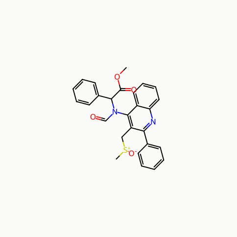 COC(=O)C(c1ccccc1)N(C=O)c1c(C[S+](C)[O-])c(-c2ccccc2)nc2ccccc12